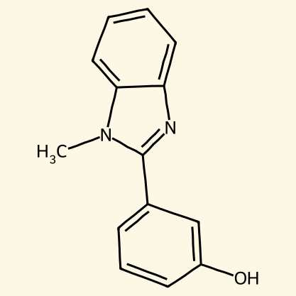 Cn1c(-c2cccc(O)c2)nc2ccccc21